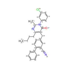 CCCCc1nc(C)n(-c2cccc(Cl)c2)c(=O)c1Cc1ccc(-c2ccccc2)c(C#N)c1